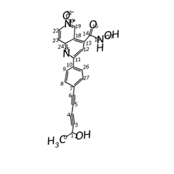 CC(O)C#CC#Cc1ccc(-c2cc(C(=O)NO)c3c[n+]([O-])ccc3n2)cc1